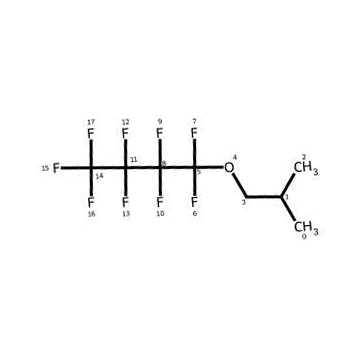 CC(C)COC(F)(F)C(F)(F)C(F)(F)C(F)(F)F